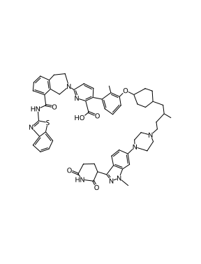 Cc1c(OC2CCC(CC(C)CCN3CCN(c4ccc5c(C6CCC(=O)NC6=O)nn(C)c5c4)CC3)CC2)cccc1-c1ccc(N2CCc3cccc(C(=O)Nc4nc5ccccc5s4)c3C2)nc1C(=O)O